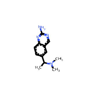 CC(c1ccc2nc(N)ncc2c1)N(C)C